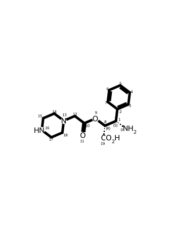 N[C@@H](c1ccccc1)[C@@H](OC(=O)CN1CCNCC1)C(=O)O